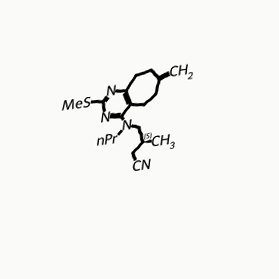 C=C1CCc2nc(SC)nc(N(CCC)C[C@@H](C)CC#N)c2CC1